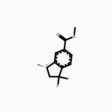 COC(=O)c1ccc2c(c1)[C@@H](C)CC2(F)F